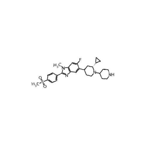 Cn1c(-c2ccc(S(C)(=O)=O)cc2)nc2cc(C3CCN(C4CCNCC4)[C@@H](C4CC4)C3)c(F)cc21